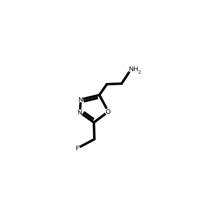 NCCc1nnc(CF)o1